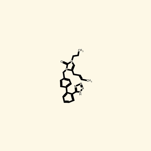 CC=CCc1cn(CCC)c(=O)n1Cc1ccc(-c2ccccc2-c2nnn[nH]2)cc1